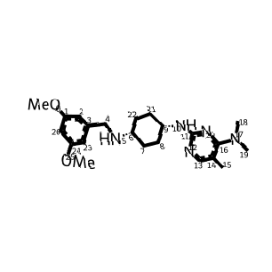 COc1cc(CN[C@H]2CC[C@@H](Nc3ncc(C)c(N(C)C)n3)CC2)cc(OC)c1